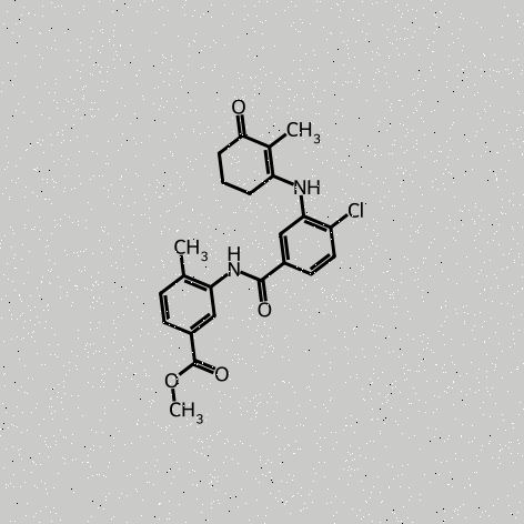 COC(=O)c1ccc(C)c(NC(=O)c2ccc(Cl)c(NC3=C(C)C(=O)CCC3)c2)c1